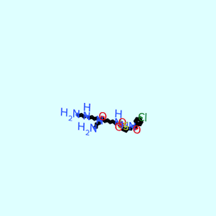 NCCCNCCCCN(CCCN)C(=O)CCCCCNS(=O)(=O)c1ccc(CNC(=O)c2ccc(Cl)cc2)s1